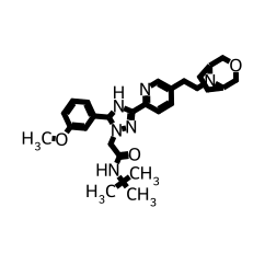 COc1cccc(C2NC(c3ccc(CCN4C5CCC4COC5)cn3)=NN2CC(=O)NC(C)(C)C)c1